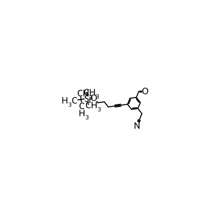 CC(C)(C)[Si](C)(C)OCCCC#Cc1cc(C=O)cc(CC#N)c1